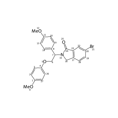 COc1ccc(OCC(c2ccc(OC)cc2)N2Cc3ccc(Br)cc3C2=O)cc1